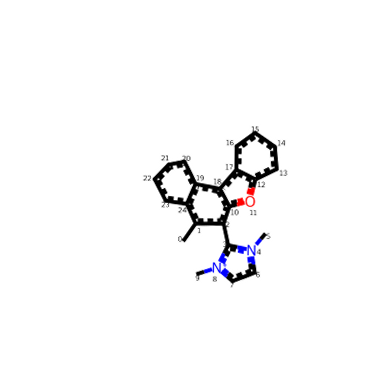 Cc1c(-c2n(C)cc[n+]2C)c2oc3ccccc3c2c2ccccc12